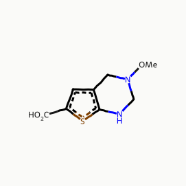 CON1CNc2sc(C(=O)O)cc2C1